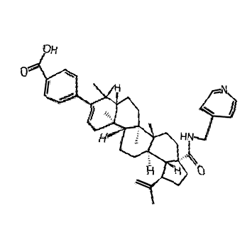 C=C(C)[C@@H]1CC[C@]2(C(=O)NCc3ccncc3)CC[C@]3(C)[C@H](CC[C@@H]4[C@@]5(C)CC=C(c6ccc(C(=O)O)cc6)C(C)(C)[C@@H]5CC[C@]43C)[C@@H]12